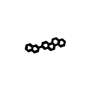 C1=CC2=C(CC1)CCc1c2ccc2cc(-c3ccc4ccccc4c3)ccc12